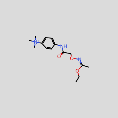 CCOC(C)=NOCC(=O)Nc1ccc([N+](C)(C)C)cc1